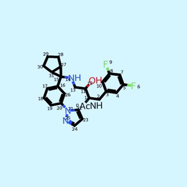 CC(=O)NC(Cc1cc(F)cc(F)c1)C(O)CNC1(c2cccc(-n3cccn3)c2)C2CCCC21